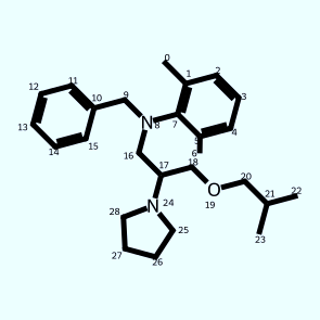 Cc1cccc(C)c1N(Cc1ccccc1)CC(COCC(C)C)N1CCCC1